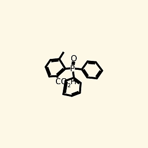 Cc1cccc(C(=O)O)c1P(=O)(c1ccccc1)c1ccccc1